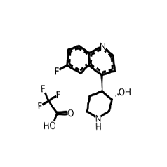 O=C(O)C(F)(F)F.O[C@@H]1CNCC[C@H]1c1ccnc2ccc(F)cc12